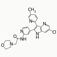 Cc1ccc(-c2c(-c3ccnc(NC(=O)CN4CCOCC4)c3)[nH]c3cc(Cl)cnc23)nc1